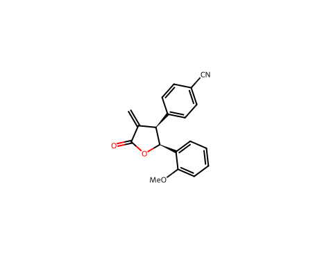 C=C1C(=O)O[C@H](c2ccccc2OC)[C@@H]1c1ccc(C#N)cc1